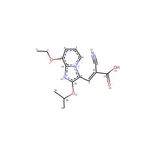 CCOc1cccn2c(C=C(C#N)C(=O)O)c(OC(C)C)nc12